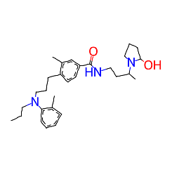 CCCN(CCCc1ccc(C(=O)NCCC(C)N2CCCC2O)cc1C)c1ccccc1C